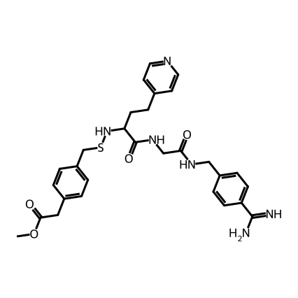 COC(=O)Cc1ccc(CSNC(CCc2ccncc2)C(=O)NCC(=O)NCc2ccc(C(=N)N)cc2)cc1